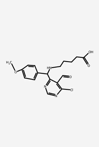 COc1ccc(C(NCCCCC(=O)O)c2ncnc(Cl)c2C=O)cc1